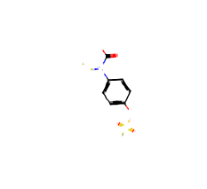 CSN(C(=O)O)c1ccc(OS(C)(=O)=O)cc1